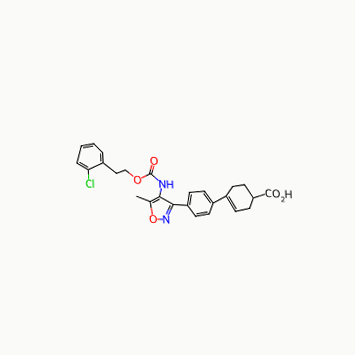 Cc1onc(-c2ccc(C3=CCC(C(=O)O)CC3)cc2)c1NC(=O)OCCc1ccccc1Cl